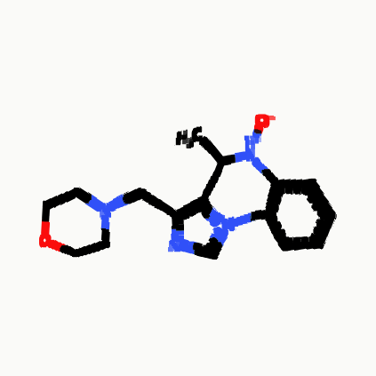 CC1c2c(CN3CCOCC3)ncn2-c2ccccc2[NH+]1[O-]